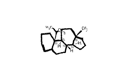 CC(C)[C@]12CCC=CC1CC[C@H]1[C@@H]3CCC[C@@]3(C)CC[C@@H]12